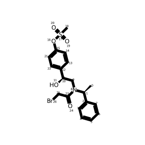 C[C@@H](c1ccccc1)N(C[C@@H](O)c1ccc(OS(C)(=O)=O)cc1)C(=O)CBr